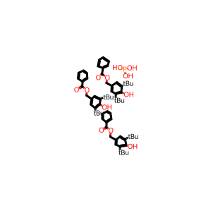 CC(C)(C)c1cc(COC(=O)c2ccccc2)cc(C(C)(C)C)c1O.CC(C)(C)c1cc(COC(=O)c2ccccc2)cc(C(C)(C)C)c1O.CC(C)(C)c1cc(COC(=O)c2ccccc2)cc(C(C)(C)C)c1O.OP(O)O